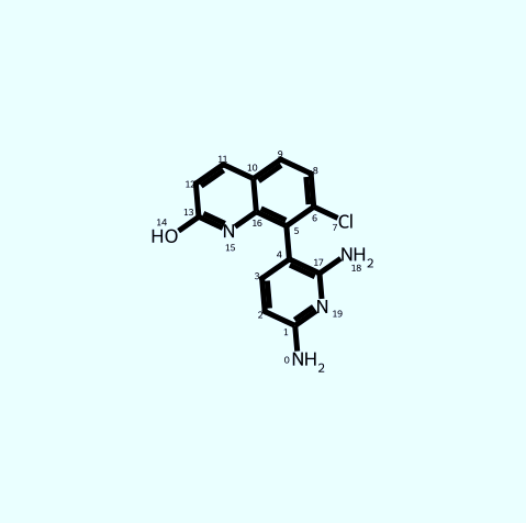 Nc1ccc(-c2c(Cl)ccc3ccc(O)nc23)c(N)n1